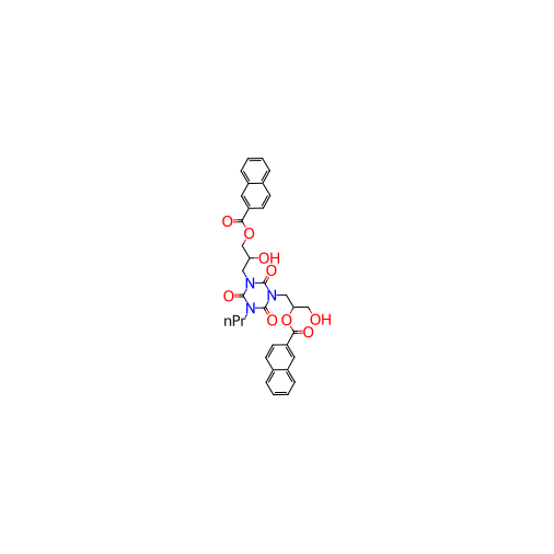 CCCn1c(=O)n(CC(O)COC(=O)c2ccc3ccccc3c2)c(=O)n(CC(CO)OC(=O)c2ccc3ccccc3c2)c1=O